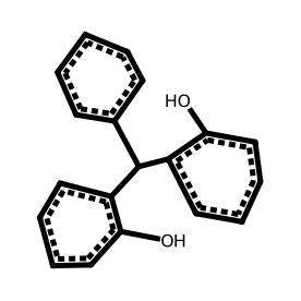 Oc1ccccc1C(c1ccccc1)c1ccccc1O